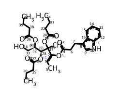 C/C=C(\OC(=O)CCc1c[nH]c2ccccc12)C(C)(OC(=O)CCC)[C@@H](OC(=O)CCC)[C@@H](CO)OC(=O)CCC